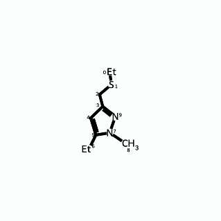 CCSCc1cc(CC)n(C)n1